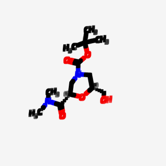 CN(C)C(=O)[C@@H]1CN(C(=O)OC(C)(C)C)C[C@H](CO)O1